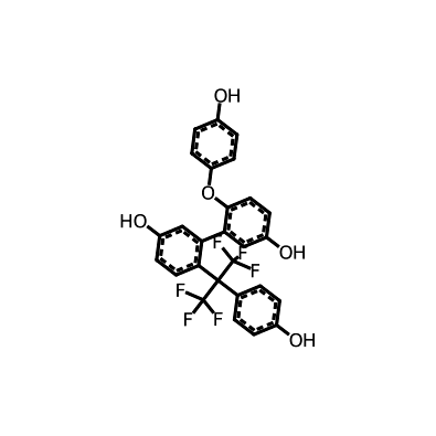 Oc1ccc(Oc2ccc(O)cc2-c2cc(O)ccc2C(c2ccc(O)cc2)(C(F)(F)F)C(F)(F)F)cc1